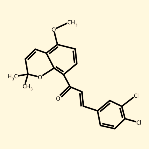 COc1ccc(C(=O)C=Cc2ccc(Cl)c(Cl)c2)c2c1C=CC(C)(C)O2